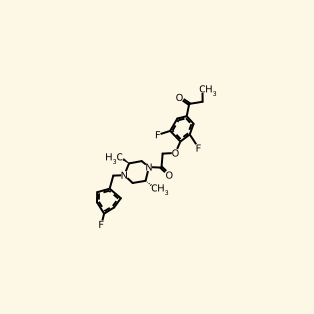 CCC(=O)c1cc(F)c(OCC(=O)N2C[C@H](C)N(Cc3ccc(F)cc3)C[C@H]2C)c(F)c1